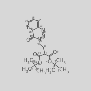 CC(C)(C)OC(=O)C(CCn1nnc2cccnc2c1=O)C(=O)OC(C)(C)C